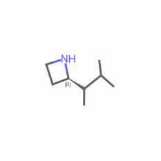 CC(C)C(C)[C@H]1CCN1